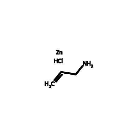 C=CCN.Cl.[Zn]